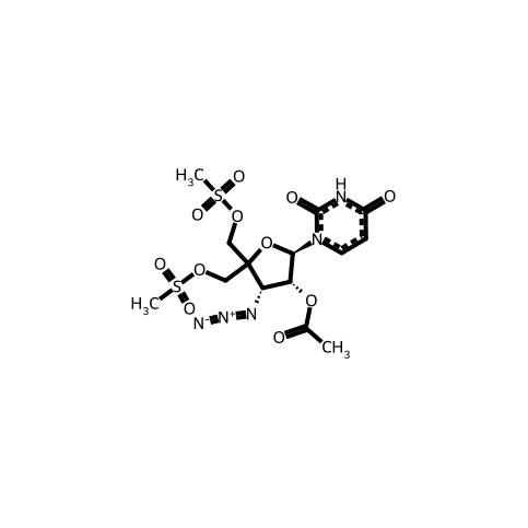 CC(=O)O[C@H]1[C@H](n2ccc(=O)[nH]c2=O)OC(COS(C)(=O)=O)(COS(C)(=O)=O)[C@H]1N=[N+]=[N-]